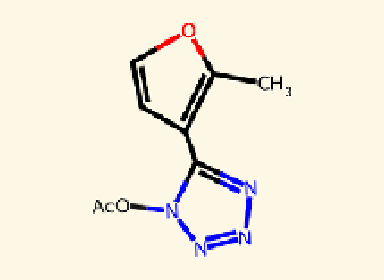 CC(=O)On1nnnc1-c1ccoc1C